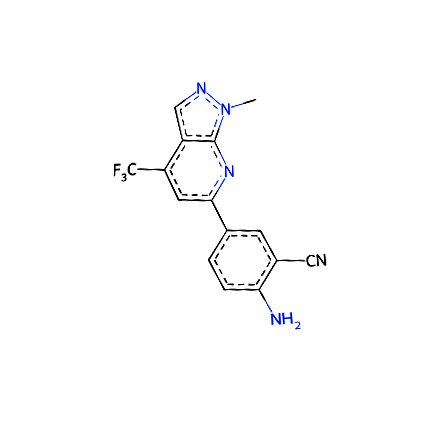 Cn1ncc2c(C(F)(F)F)cc(-c3ccc(N)c(C#N)c3)nc21